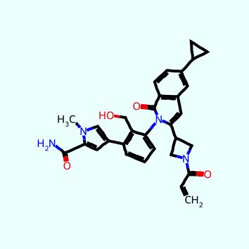 C=CC(=O)N1CC(c2cc3cc(C4CC4)ccc3c(=O)n2-c2cccc(-c3cc(C(N)=O)n(C)c3)c2CO)C1